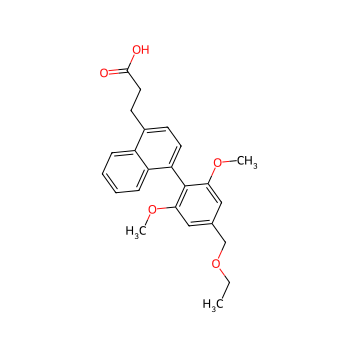 CCOCc1cc(OC)c(-c2ccc(CCC(=O)O)c3ccccc23)c(OC)c1